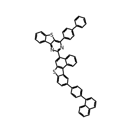 c1ccc(-c2ccc(-c3nc(-c4cc5sc6ccc(-c7ccc(-c8cccc9ccccc89)cc7)cc6c5c5ccccc45)nc4c3sc3ccccc34)cc2)cc1